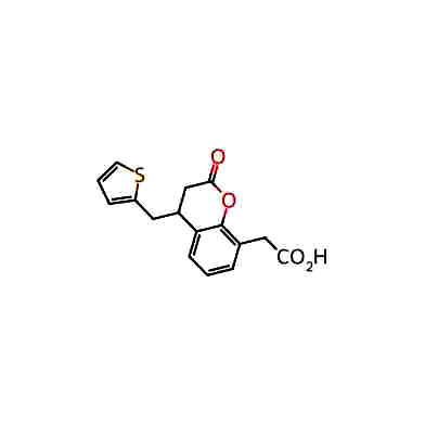 O=C(O)Cc1cccc2c1OC(=O)CC2Cc1cccs1